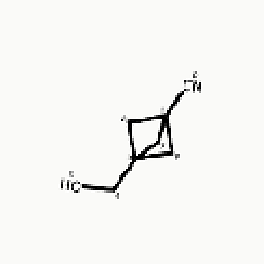 N#CC12CC(CO)(C1)C2